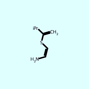 C=C(S/C=C\N)C(C)C